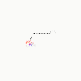 CC/C=C\CCCCCCCCCC/C=C\CCCCCCC(O)(C[N+](C)(C)C)P(=O)(O)O